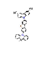 CC1(C)c2ccccc2N(c2ccc3c(c2)sc2cc(-n4c5ccc(C#N)cc5c5cc(C#N)ccc54)ccc23)c2ccccc21